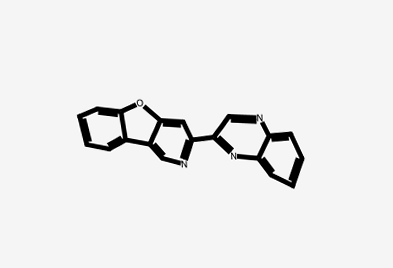 c1ccc2nc(-c3cc4oc5ccccc5c4cn3)cnc2c1